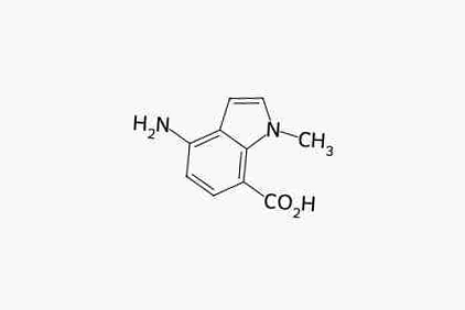 Cn1ccc2c(N)ccc(C(=O)O)c21